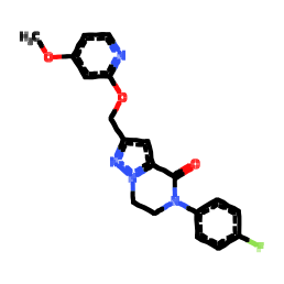 COc1ccnc(OCc2cc3n(n2)CCN(c2ccc(F)cc2)C3=O)c1